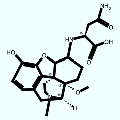 CO[C@@]12CCC(N[C@@H](CC(N)=O)C(=O)O)C3Oc4c(O)ccc5c4[C@@]31CCN(C)[C@@H]2C5